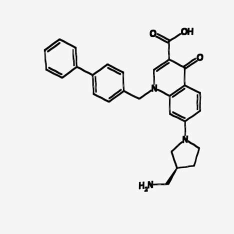 NC[C@@H]1CCN(c2ccc3c(=O)c(C(=O)O)cn(Cc4ccc(-c5ccccc5)cc4)c3c2)C1